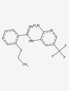 CCSc1ccccc1C(=P)Nc1cc(C(F)(F)F)cnc1N